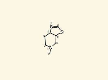 CN1CCC2N=CSC2C1